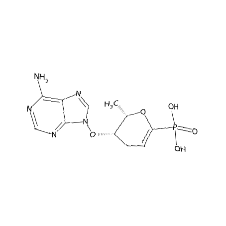 C[C@@H]1OC(P(=O)(O)O)=CC[C@@H]1On1cnc2c(N)ncnc21